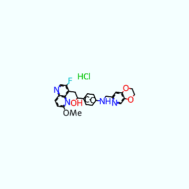 COc1ccc2ncc(F)c(CC(O)C34CCC(NCc5cc6c(cn5)OCCO6)(CC3)CC4)c2n1.Cl